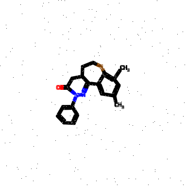 Cc1cc(C)c2c(c1)C1=NN(c3ccccc3)C(=O)CC1CCS2